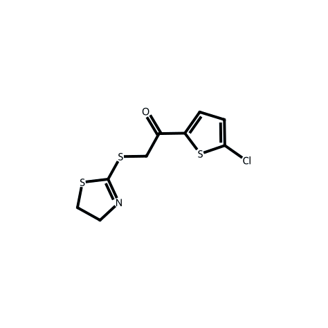 O=C(CSC1=NCCS1)c1ccc(Cl)s1